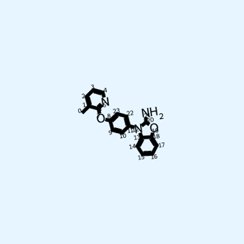 Cc1cccnc1Oc1ccc(N2c3ccccc3OC2N)cc1